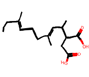 CCC(C)=CCCC(C)=CC(C)C(CC(=O)O)C(=O)O